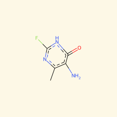 Cc1nc(F)[nH]c(=O)c1N